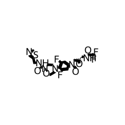 O=C(NC[C@H]1CN(c2cc(F)c(N3CCON(C(=O)NCc4cncs4)CC3)c(F)c2)C(=O)O1)C(F)F